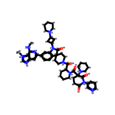 CC(C)Nc1nc(-c2ccc3c(c2)N(C2CC(N4CCCCC4)C2)C(=O)C32CCN(C(=O)C3CCCCN3C(=O)C3(N4CCCCC4)CCC(=O)N(c4cccnc4)C3=O)CC2)cc2ncn(C(C)C)c12